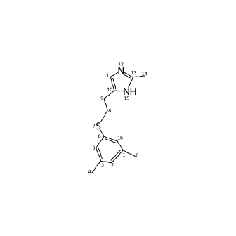 Cc1cc(C)cc(SCCc2cnc(C)[nH]2)c1